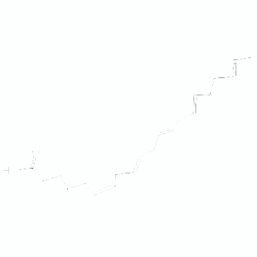 CC=CCCC=CCC=CCC=CC/C=C\CCCCC(=O)O